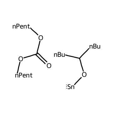 CCCCC(CCCC)[O][Sn].CCCCCOC(=O)OCCCCC